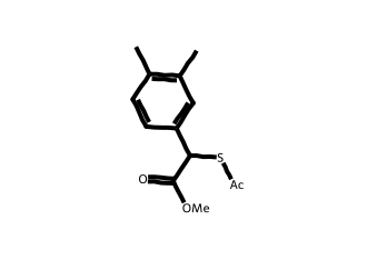 COC(=O)C(SC(C)=O)c1ccc(C)c(C)c1